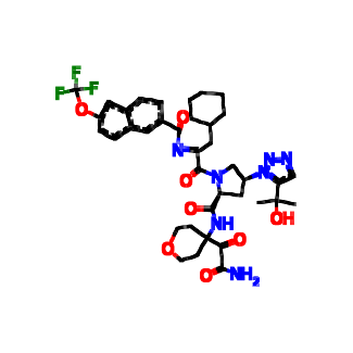 CC(C)(O)c1cnnn1[C@H]1C[C@@H](C(=O)NC2(C(=O)C(N)=O)CCOCC2)N(C(=O)/C(CC2CCCCC2)=N/C(=O)c2ccc3cc(OC(F)(F)F)ccc3c2)C1